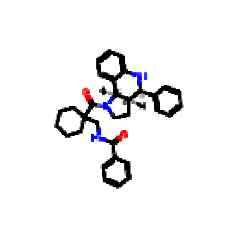 O=C(NCC1(C(=O)N2CC[C@@H]3[C@H](c4ccccc4)Nc4ccccc4[C@@H]32)CCCCC1)c1ccccc1